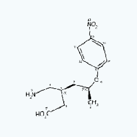 C[C@@H](C[C@H](CN)CC(=O)O)Oc1ccc([N+](=O)[O-])cc1